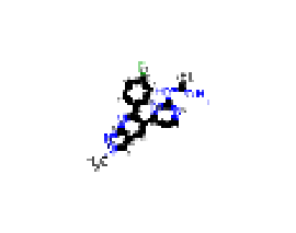 CCC(N)Nc1nccc(-c2cc3cn(C)nc3nc2-c2ccc(F)cc2)n1